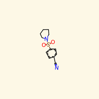 N#Cc1ccc(S(=O)(=O)N2CCCCC2)cc1